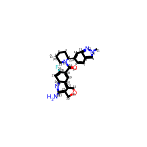 C[C@@H]1CC[C@@H](c2ccc3cn(C)nc3c2)N(C(=O)c2cc3c4c(c(N)nc3cc2F)COC4)C1